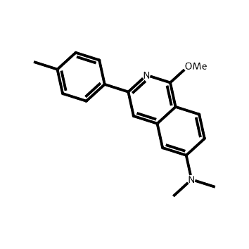 COc1nc(-c2ccc(C)cc2)cc2cc(N(C)C)ccc12